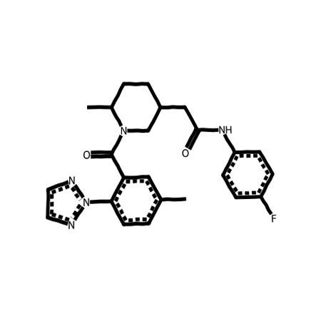 Cc1ccc(-n2nccn2)c(C(=O)N2CC(CC(=O)Nc3ccc(F)cc3)CCC2C)c1